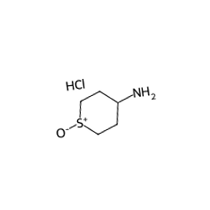 Cl.NC1CC[S+]([O-])CC1